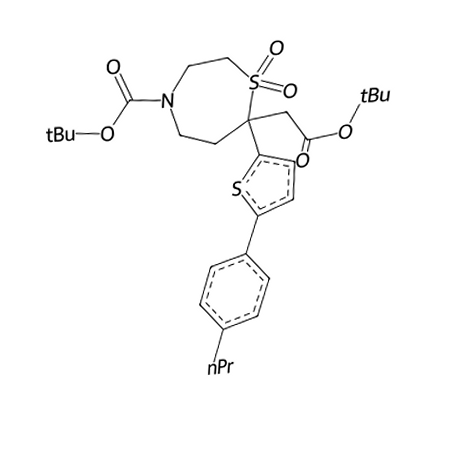 CCCc1ccc(-c2ccc(C3(CC(=O)OC(C)(C)C)CCN(C(=O)OC(C)(C)C)CCS3(=O)=O)s2)cc1